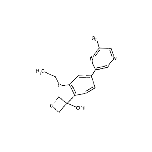 CCOc1cc(-c2cncc(Br)n2)ccc1C1(O)COC1